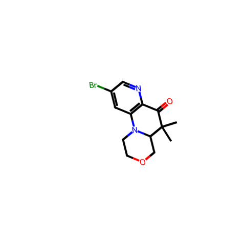 CC1(C)C(=O)c2ncc(Br)cc2N2CCOCC21